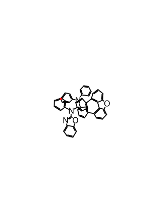 c1ccc(N(c2ccccc2)c2cccc(-c3cccc4oc5cccc(-c6ccc(N(c7ccccc7)c7nc8ccccc8o7)cc6)c5c34)c2)cc1